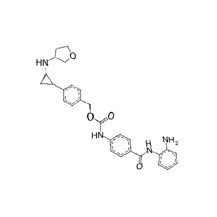 Nc1ccccc1NC(=O)c1ccc(NC(=O)OCc2ccc(C3C[C@@H]3NC3CCOC3)cc2)cc1